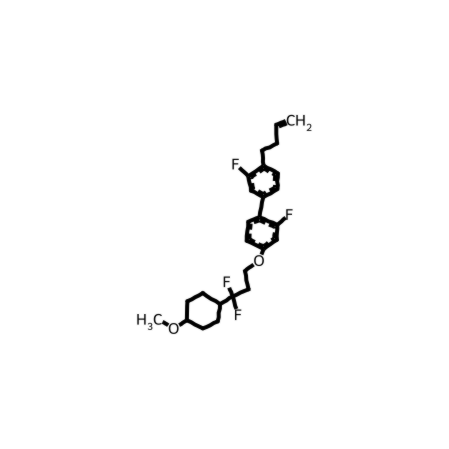 C=CCCc1ccc(-c2ccc(OCCC(F)(F)C3CCC(OC)CC3)cc2F)cc1F